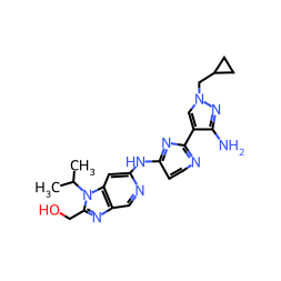 CC(C)n1c(CO)nc2cnc(Nc3ccnc(-c4cn(CC5CC5)nc4N)n3)cc21